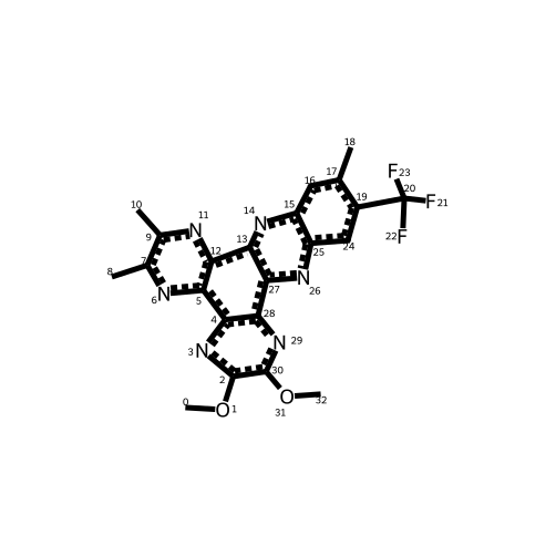 COc1nc2c3nc(C)c(C)nc3c3nc4cc(C)c(C(F)(F)F)cc4nc3c2nc1OC